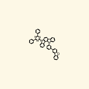 c1ccc(-c2nc(-c3ccccc3)nc(-n3c4ccccc4c4c3ccc3c5ccccc5n(-c5cccc(-c6ccc7oc8ccccc8c7c6)c5)c34)n2)cc1